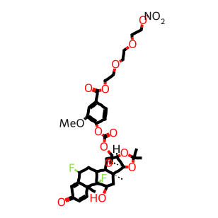 COc1cc(C(=O)OCCOCCOCCO[N+](=O)[O-])ccc1OC(=O)OCC(=O)[C@@]12OC(C)(C)O[C@@H]1CC1C3C[C@H](F)C4=CC(=O)C=CC4(C)[C@@]3(F)C(O)C[C@@]12C